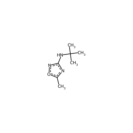 Cc1nc(NC(C)(C)C)no1